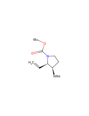 C=C[C@@H]1[C@H](NC)CCN1C(=O)OC(C)(C)C